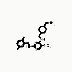 Cc1ccc(C)c(CNc2ncc([N+](=O)[O-])c(NCC3CCC(CN)CC3)n2)c1